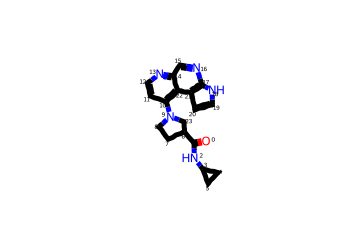 O=C(NC1CC1)C1CCN(c2ccnc3cnc4[nH]ccc4c23)C1